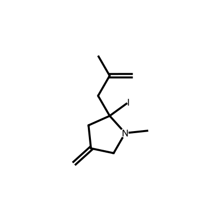 C=C(C)CC1(I)CC(=C)CN1C